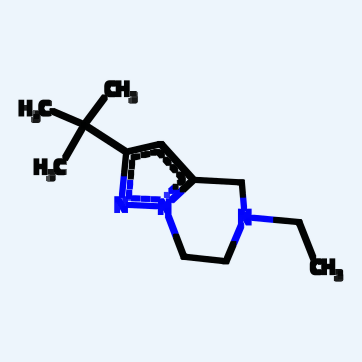 CCN1CCn2nc(C(C)(C)C)cc2C1